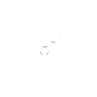 CCOc1cc(C=CCO)ccc1O